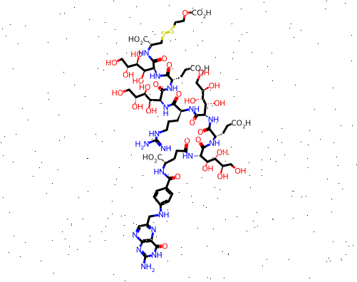 N=C(N)NCCC[C@H](NC(=O)[C@@H](NC(=O)[C@H](CCC(=O)O)NC(=O)[C@@H](NC(=O)CC[C@H](NC(=O)c1ccc(NCc2cnc3nc(N)[nH]c(=O)c3n2)cc1)C(=O)O)[C@@H](O)[C@H](O)[C@H](O)CO)[C@@H](O)[C@H](O)[C@H](O)CO)C(=O)N[C@H](C(=O)N[C@@H](CCC(=O)O)C(=O)N[C@H](C(=O)N[C@@H](CSSCCOC(=O)O)C(=O)O)[C@@H](O)[C@H](O)[C@H](O)CO)[C@@H](O)[C@H](O)[C@H](O)CO